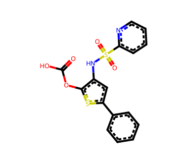 O=C(O)Oc1sc(-c2ccccc2)cc1NS(=O)(=O)c1ccccn1